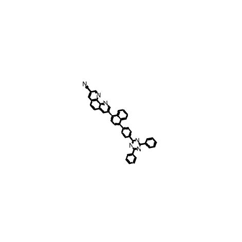 N#Cc1cnc2c(ccc3cc(-c4ccc(-c5ccc(-c6nc(-c7ccccc7)nc(-c7ccccc7)n6)cc5)c5ccccc45)cnc32)c1